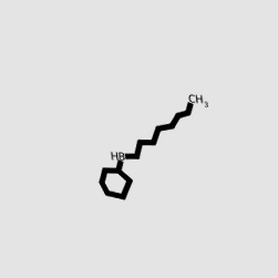 CCCCCCCCBC1CCCCC1